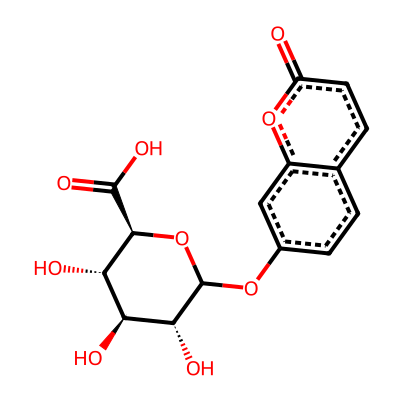 O=C(O)[C@H]1OC(Oc2ccc3ccc(=O)oc3c2)[C@H](O)[C@@H](O)[C@@H]1O